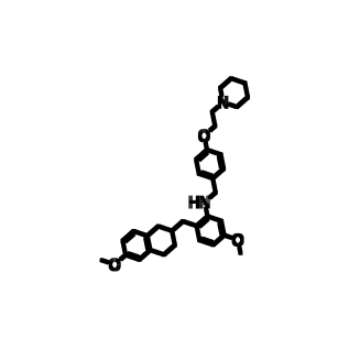 COc1ccc2c(c1)CCC(Cc1ccc(OC)cc1NCc1ccc(OCCN3CCCCC3)cc1)C2